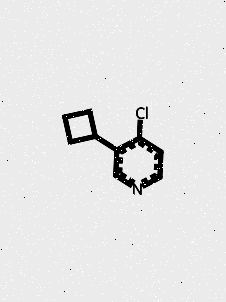 Clc1ccncc1C1CCC1